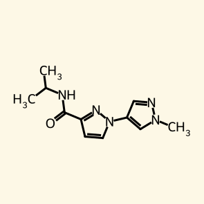 CC(C)NC(=O)c1ccn(-c2cnn(C)c2)n1